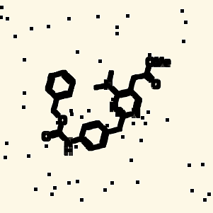 COC(=O)Cc1cnc(Cc2ccc(NC(=O)OCc3ccccc3)cc2)nc1N(C)C